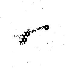 CCc1c(C(CC(=O)O)c2ccc3c(nnn3CCCOCCOCc3ccccc3)c2C)ccc(C)c1C(C)O